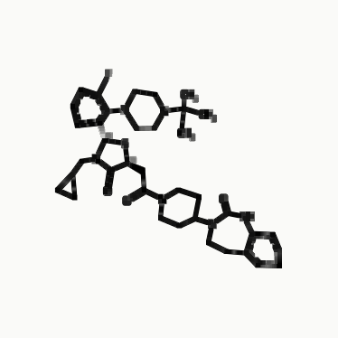 CC(C)(C)N1CCN(c2c(F)cccc2[C@@H]2S[C@@H](CC(=O)N3CCC(N4CCc5ccccc5NC4=O)CC3)C(=O)N2CC2CC2)CC1